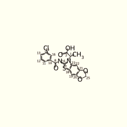 CC(C(=O)O)n1c(=NC(=O)c2cccc(Cl)c2)sc2cc3c(cc21)OCO3